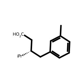 Cc1cccc(C[C@@H](CC(=O)O)C(C)C)c1